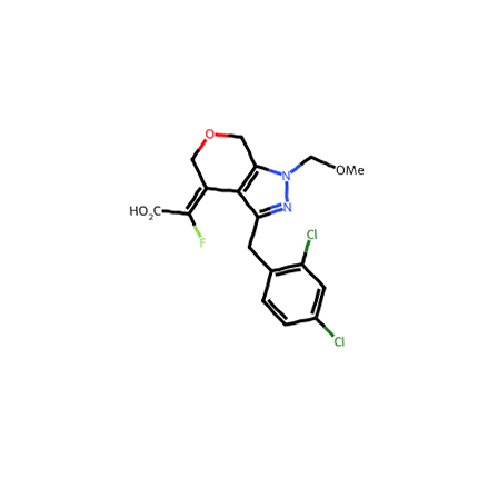 COCn1nc(Cc2ccc(Cl)cc2Cl)c2c1COCC2=C(F)C(=O)O